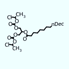 CCCCCCCCCCCCCCCCCC(=O)OC(COC(=O)OC(C)Cl)COC(=O)OC(C)Cl